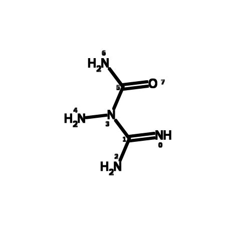 N=C(N)N(N)C(N)=O